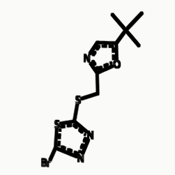 CC(C)(C)c1cnc(CSc2nnc(Br)s2)o1